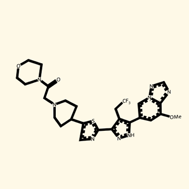 COc1cc(-c2[nH]nc(-c3ncc(C4CCN(CC(=O)N5CCOCC5)CC4)s3)c2CC(F)(F)F)cn2ncnc12